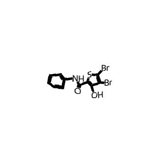 O=C(Nc1ccccc1)c1sc(Br)c(Br)c1O